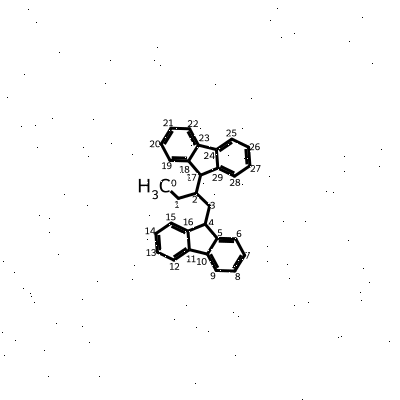 CCC(CC1c2ccccc2-c2ccccc21)C1c2ccccc2-c2ccccc21